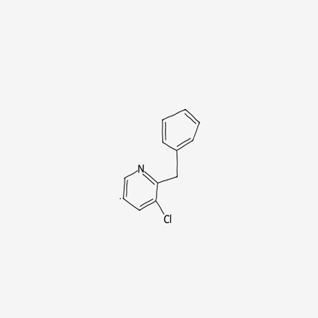 Clc1c[c]cnc1Cc1ccccc1